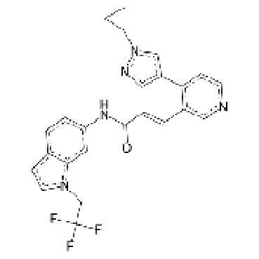 O=C(/C=C/c1cnccc1-c1cnn(C2CC2)c1)Nc1ccc2ccn(CC(F)(F)F)c2c1